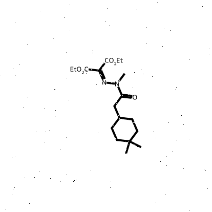 CCOC(=O)C(=NN(C)C(=O)CC1CCC(C)(C)CC1)C(=O)OCC